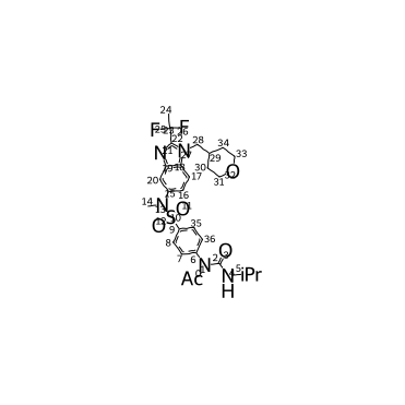 CC(=O)N(C(=O)NC(C)C)c1ccc(S(=O)(=O)N(C)c2ccc3c(c2)nc(C(C)(F)F)n3CC2CCOCC2)cc1